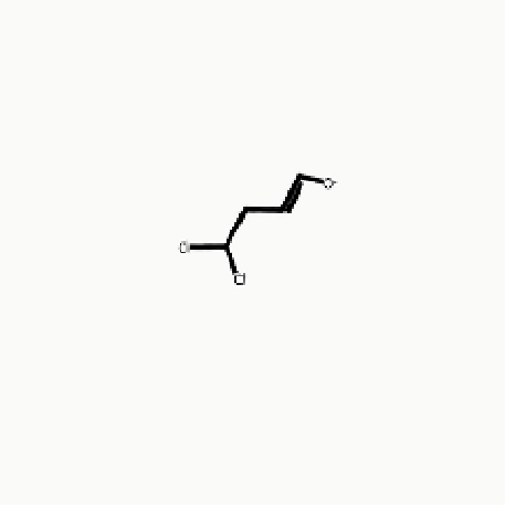 [O]C=CCC(Cl)Cl